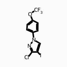 FC(F)(F)Oc1ccc(-n2cc(I)c(Cl)n2)cc1